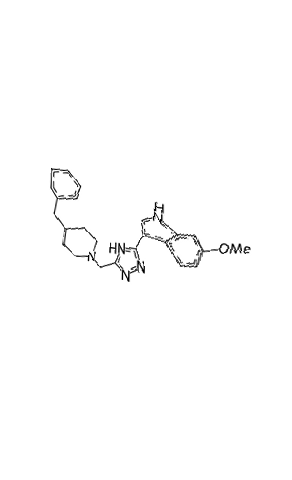 COc1ccc2c(-c3nnc(CN4CCC(Cc5ccccc5)CC4)[nH]3)c[nH]c2c1